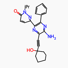 CC(C)n1nc(-c2nc(C#CC3(O)CCCCC3)c(N)nc2-c2ccccc2)ccc1=O